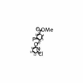 COC(=O)c1ccc(COc2cccc(Cl)n2)c(F)c1